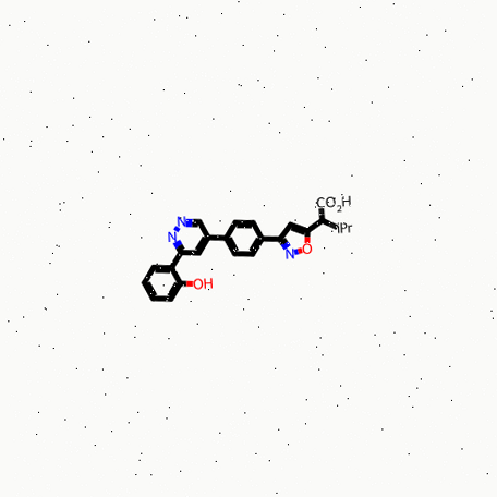 CC(C)C(C(=O)O)c1cc(-c2ccc(-c3cnnc(-c4ccccc4O)c3)cc2)no1